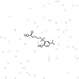 CC(C)c1ccc(O)c(C(C)(C)CCCCC(=O)O)c1